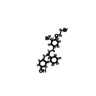 Oc1ccc(CC(=CCc2ccc(OCCBr)c(Br)c2)c2ccccc2)cc1